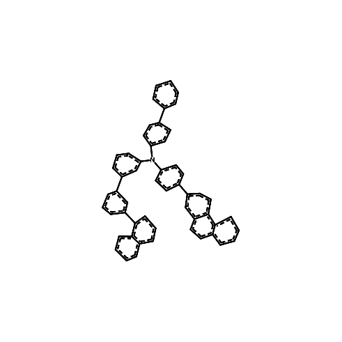 c1ccc(-c2ccc(N(c3ccc(-c4ccc5c(ccc6ccccc65)c4)cc3)c3cccc(-c4cccc(-c5cccc6ccccc56)c4)c3)cc2)cc1